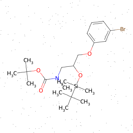 CN(CC(COc1cccc(Br)c1)O[Si](C)(C)C(C)(C)C)C(=O)OC(C)(C)C